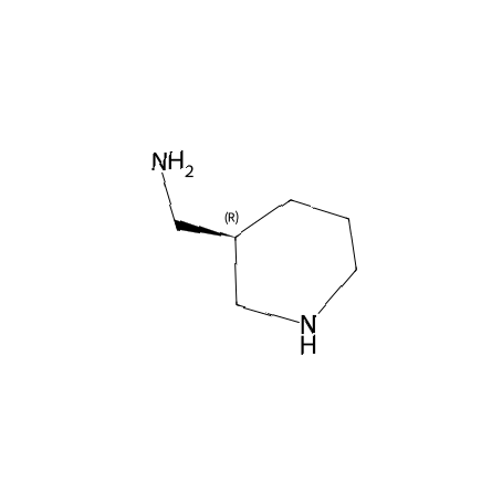 NC[C@H]1CCCNC1